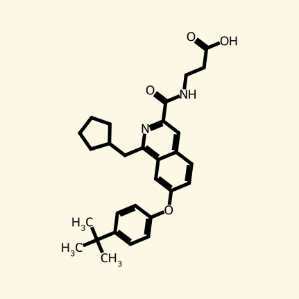 CC(C)(C)c1ccc(Oc2ccc3cc(C(=O)NCCC(=O)O)nc(CC4CCCC4)c3c2)cc1